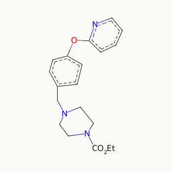 CCOC(=O)N1CCN(Cc2ccc(Oc3ccccn3)cc2)CC1